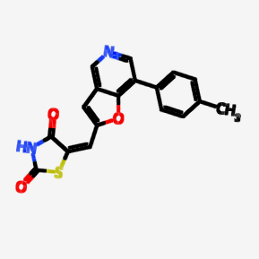 Cc1ccc(-c2cncc3cc(C=C4SC(=O)NC4=O)oc23)cc1